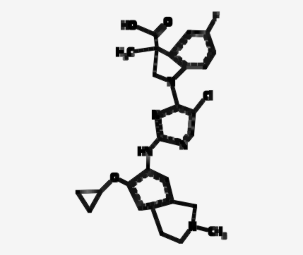 CN1CCc2cc(OC3CC3)c(Nc3ncc(Cl)c(N4CC(C)(C(=O)O)c5cc(F)ccc54)n3)cc2C1